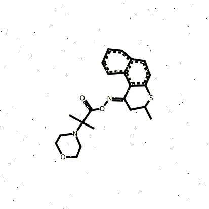 CC1C/C(=N\OC(=O)C(C)(C)N2CCOCC2)c2c(ccc3ccccc23)S1